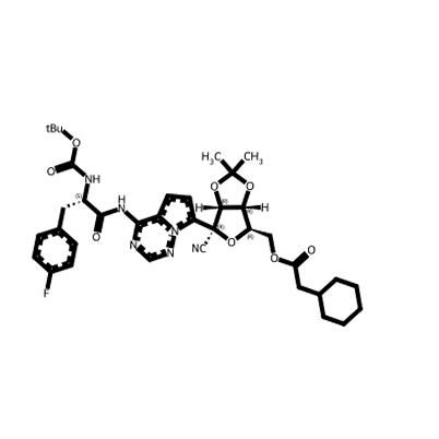 CC(C)(C)OC(=O)N[C@@H](Cc1ccc(F)cc1)C(=O)Nc1ncnn2c([C@]3(C#N)O[C@H](COC(=O)CC4CCCCC4)[C@H]4OC(C)(C)O[C@H]43)ccc12